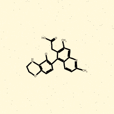 Cc1ccc2c(-c3ccc4c(c3Cl)NCCO4)c(CC(=O)O)c(C)cc2n1